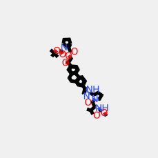 COC(=O)NC(C(=O)N1CCCC1c1ncc(-c2ccc3c(c2)CCc2cc(C(=O)COC(=O)C4C5CCC(C5)N4C(=O)OC(C)(C)C)ccc2-3)[nH]1)C(C)C